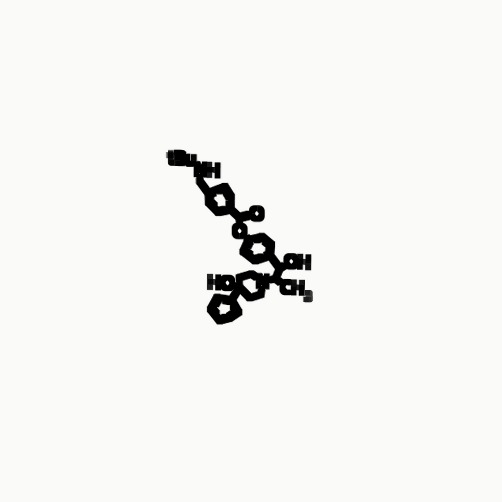 CC(C(O)c1ccc(OC(=O)c2ccc(CNC(C)(C)C)cc2)cc1)N1CCC(O)(c2ccccc2)CC1